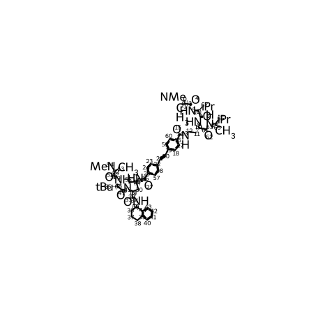 CN[C@@H](C)C(=O)N[C@H](C(=O)N[C@@H](CCNC(=O)c1ccc(C#Cc2ccc(C(=O)N[C@H]3C[C@@H](C(=O)N[C@@H]4CCCc5ccccc54)N(C(=O)[C@@H](NC(=O)[C@H](C)NC)C(C)(C)C)C3)cc2)cc1)C(=O)NC(C)C(C)C)C(C)C